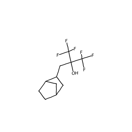 OC(CC1CC2CCC1C2)(C(F)(F)F)C(F)(F)F